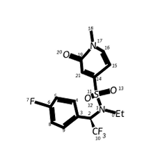 CCN([C@H](c1ccc(F)cc1)C(F)(F)F)S(=O)(=O)c1ccn(C)c(=O)c1